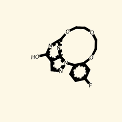 Oc1nc2nc3c1cnn3-c1ccc(F)cc1OCCOCCO2